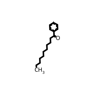 CCCCCCCCCCC(=O)c1cc[c]cc1